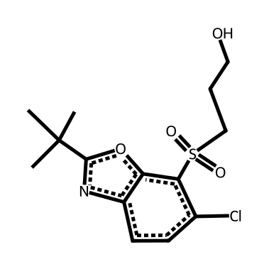 CC(C)(C)c1nc2ccc(Cl)c(S(=O)(=O)CCCO)c2o1